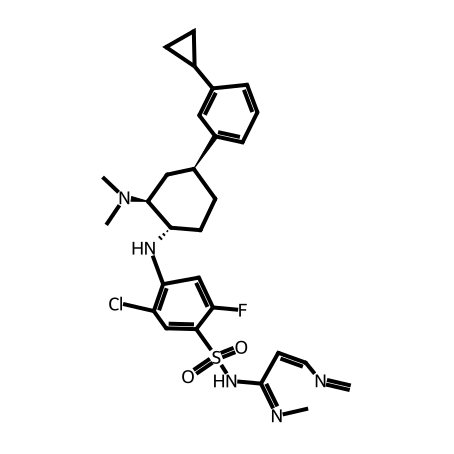 C=N/C=C\C(=N/C)NS(=O)(=O)c1cc(Cl)c(N[C@H]2CC[C@H](c3cccc(C4CC4)c3)C[C@@H]2N(C)C)cc1F